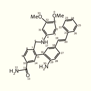 COc1ccc(NCc2ccc(C(N)=O)cc2-c2cc(/C=C/c3ccccc3)ccc2N)cc1OC